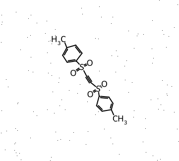 Cc1ccc(S(=O)(=O)C#CS(=O)(=O)c2ccc(C)cc2)cc1